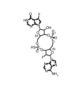 BP1(=O)OC[C@H]2O[C@@H](n3cnc4c(N)ncnc43)C(F)C2OP(=O)(S)OC[C@H]2O[C@@H](n3cc(F)c4c(=O)[nH]cnc43)C(O)C2O1